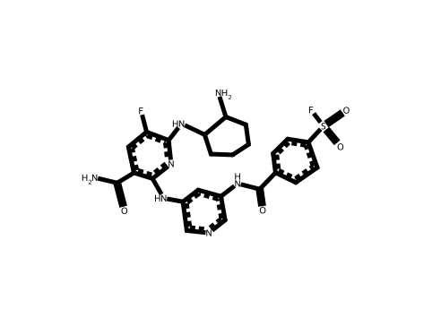 NC(=O)c1cc(F)c(NC2CCCCC2N)nc1Nc1cncc(NC(=O)c2ccc(S(=O)(=O)F)cc2)c1